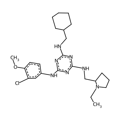 CCN1CCCC1CNc1nc(NCC2CCCCC2)nc(Nc2ccc(OC)c(Cl)c2)n1